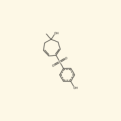 CC1(O)CC=CC(S(=O)(=O)c2ccc(O)cc2)=CC1